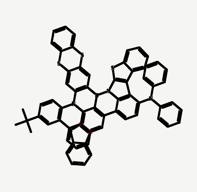 CC(C)(C)c1ccc(N2c3cc4c(cc3B3c5c(cc6c(oc7ccccc76)c52)-c2ccc(N(c5ccccc5)c5ccccc5)c5c6c7ccccc7sc6n3c25)Sc2ccccc2S4)c(-c2ccccc2)c1